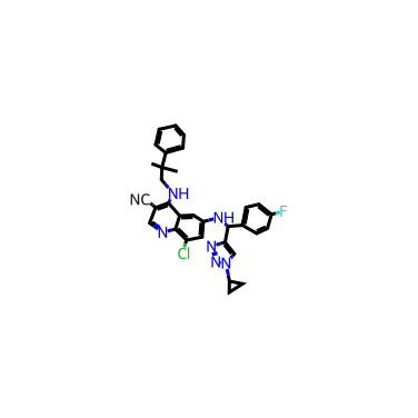 CC(C)(CNc1c(C#N)cnc2c(Cl)cc(NC(c3ccc(F)cc3)c3cn(C4CC4)nn3)cc12)c1ccccc1